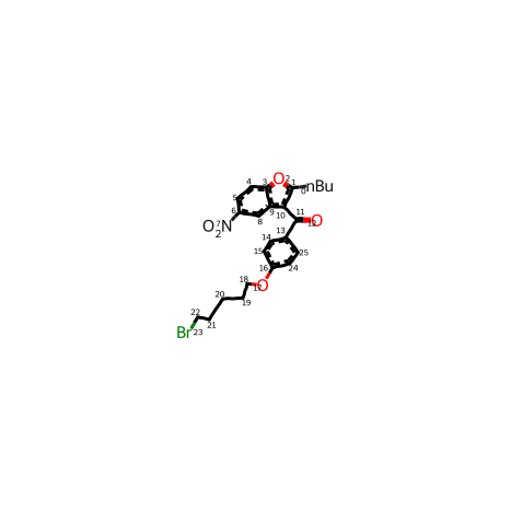 CCCCc1oc2ccc([N+](=O)[O-])cc2c1C(=O)c1ccc(OCCCCCBr)cc1